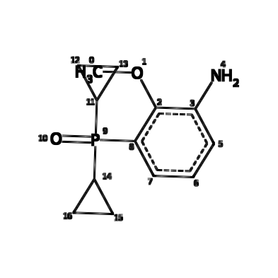 COc1c(N)cccc1P(=O)(C1CC1)C1CC1